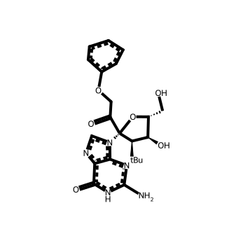 CC(C)(C)[C@@H]1[C@H](O)[C@@H](CO)O[C@@]1(C(=O)COc1ccccc1)n1cnc2c(=O)[nH]c(N)nc21